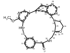 COc1ncc2cc1NSc1cccc(c1)C(=O)NC[C@@H]1CN(CCO1)c1ncnc3cc-2sc13